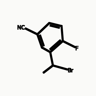 CC(Br)c1cc(C#N)ccc1F